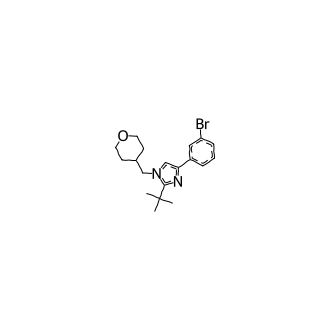 CC(C)(C)c1nc(-c2cccc(Br)c2)cn1CC1CCOCC1